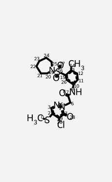 CSc1cnn(CC(=O)Nc2ccc(C)c(S(=O)(=O)N3CCCCCC3)c2)c(=O)c1Cl